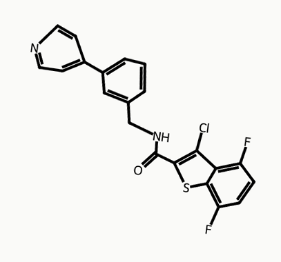 O=C(NCc1cccc(-c2ccncc2)c1)c1sc2c(F)ccc(F)c2c1Cl